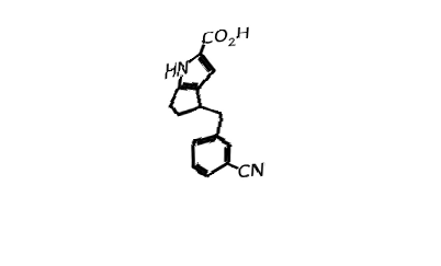 N#Cc1cccc(CC2CCc3[nH]c(C(=O)O)cc32)c1